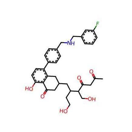 CC(=O)CC(=O)C(CO)C(CCO)CC1CC(=O)c2c(O)ccc(-c3ccc(CNCc4cccc(F)c4)cc3)c2C1